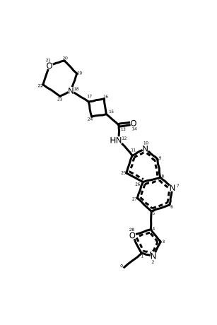 Cc1ncc(-c2cnc3cnc(NC(=O)C4CC(N5CCOCC5)C4)cc3c2)o1